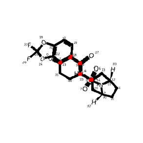 O=C1CCC(S(=O)(=O)N2[C@@H]3CC[C@H]2C[C@H](NC(=O)c2ccc4c(c2)OC(F)(F)O4)C3)CC1